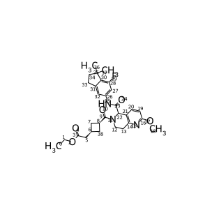 CCOC(=O)C[C@H]1C[C@@H](C(=O)N2CCc3nc(OC)ccc3C2C(=O)Nc2cc(F)c3c(c2)CCC3(C)C)C1